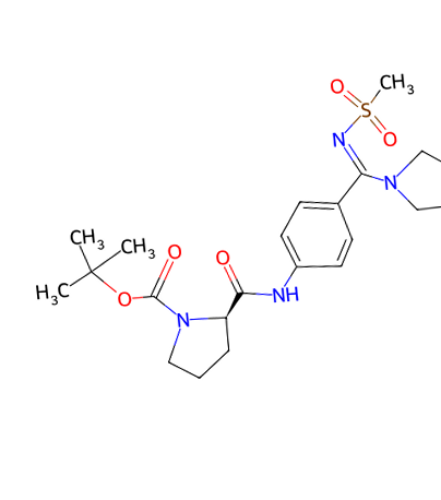 CC(C)(C)OC(=O)N1CCC[C@@H]1C(=O)Nc1ccc(C(=NS(C)(=O)=O)N2CCCC2)cc1